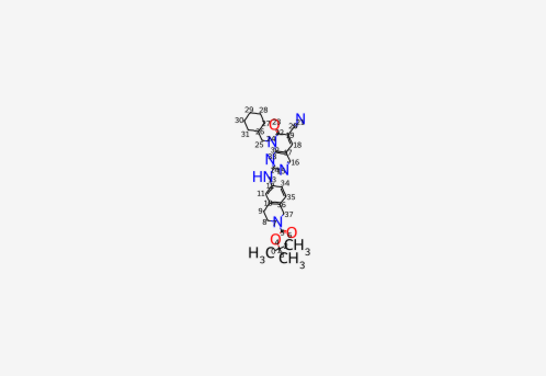 CC(C)(C)OC(=O)N1CCc2cc(Nc3ncc4cc(C#N)c(=O)n(CC5CCCCC5)c4n3)ccc2C1